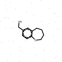 OCc1ccc2c(c1)CCCCO2